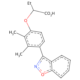 CCC(Oc1ccc(-c2noc3ccccc23)c(C)c1C)C(=O)O